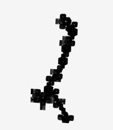 O=C(CCCCCN1C(=O)C=CC1=O)NCCNC(=O)c1cc(COC(=O)NCC(=O)NCOCc2ccc(COc3ccc(NC(=O)NCc4ccc5c(c4)CN(C4CCC(=O)NC4=O)C5=O)cc3)cc2)ccc1O[C@@H]1O[C@H](C(=O)O)[C@@H](O)[C@H](O)[C@H]1O